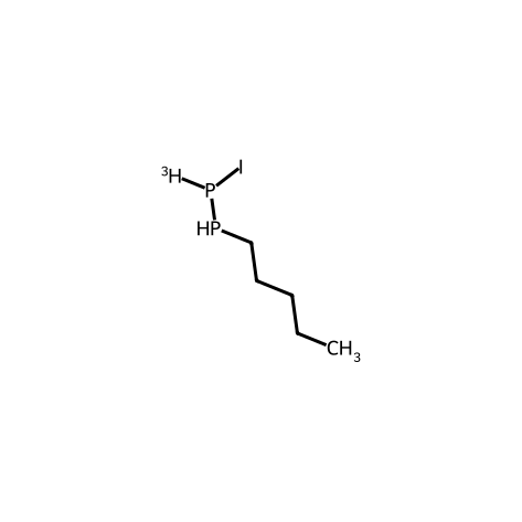 [3H]P(I)PCCCCC